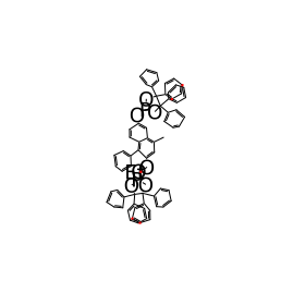 CCOc1cc(C)c2cc(OP3OC(c4ccccc4)(c4ccccc4)C(c4ccccc4)(c4ccccc4)O3)ccc2c1-c1ccccc1OP1OC(c2ccccc2)(c2ccccc2)C(c2ccccc2)(c2ccccc2)O1